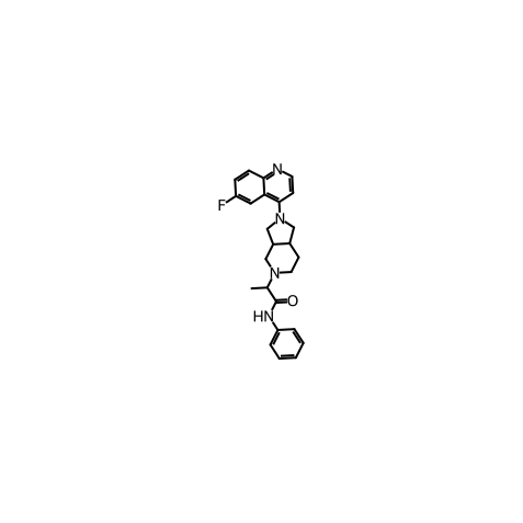 CC(C(=O)Nc1ccccc1)N1CCC2CN(c3ccnc4ccc(F)cc34)CC2C1